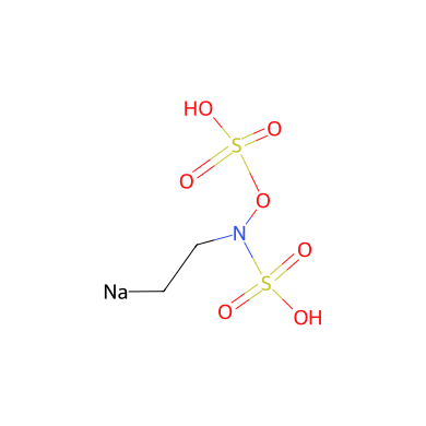 O=S(=O)(O)ON(C[CH2][Na])S(=O)(=O)O